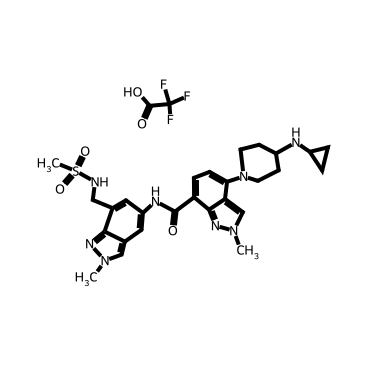 Cn1cc2cc(NC(=O)c3ccc(N4CCC(NC5CC5)CC4)c4cn(C)nc34)cc(CNS(C)(=O)=O)c2n1.O=C(O)C(F)(F)F